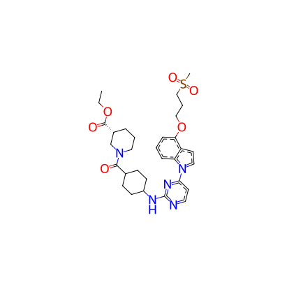 CCOC(=O)[C@@H]1CCCN(C(=O)C2CCC(Nc3nccc(-n4ccc5c(OCCCS(C)(=O)=O)cccc54)n3)CC2)C1